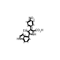 CCc1c(-c2cccc3[nH]ccc23)[nH]c(C(=O)O)c1-c1ccc([N+](=O)[O-])cc1